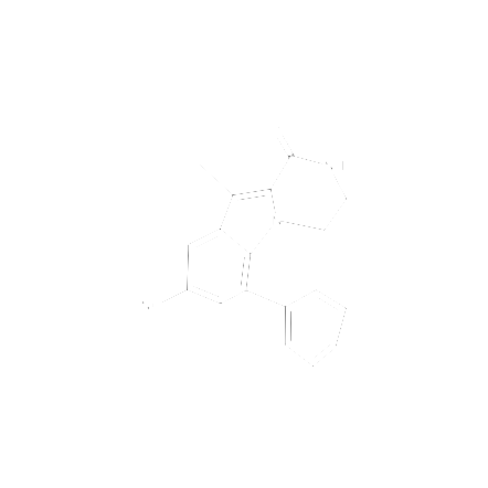 Cc1c2n(c3c(-c4ccccc4)cc(C#N)cc13)CCNC2=O